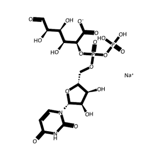 O=C[C@H](O)[C@@H](O)[C@H](O)[C@H](OP(=O)(OC[C@H]1O[C@@H](n2ccc(=O)[nH]c2=O)[C@H](O)[C@@H]1O)OP(=O)(O)O)C(=O)[O-].[Na+]